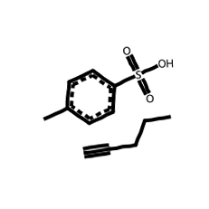 C#CCCC.Cc1ccc(S(=O)(=O)O)cc1